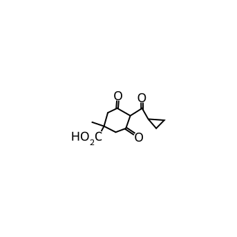 CC1(C(=O)O)CC(=O)C(C(=O)C2CC2)C(=O)C1